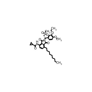 CCCCCCCCCc1ccc(NC(=O)C2CC2)c2c1C(=O)N([C@H](CS(C)(=O)=O)c1ccc(OC)c(OCC)c1)C2=O